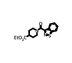 CCOC(=O)C1CCN(C(=O)c2nsc3ccccc23)CC1